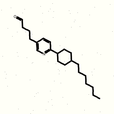 CCCCCCCC1CCC(c2ccc(CCCC=O)cn2)CC1